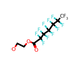 [O]CCOC(=O)C(F)(F)C(F)(F)C(F)(F)C(F)(F)C(F)(F)C(F)(F)F